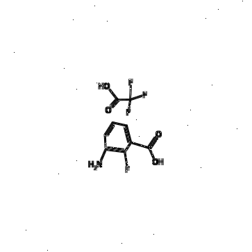 Nc1cccc(C(=O)O)c1F.O=C(O)C(F)(F)F